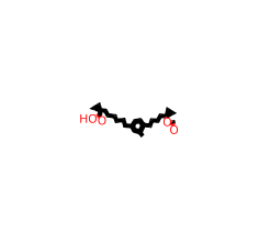 Cc1cc(CCCCCCC2(C(=O)O)CC2)ccc1CCCCC1(OC=O)CC1